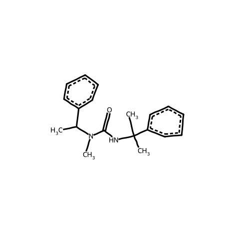 CC(c1ccccc1)N(C)C(=O)NC(C)(C)c1ccccc1